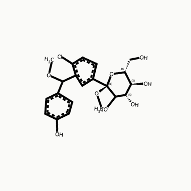 COC(c1ccc(O)cc1)c1cc([C@]2(OC)O[C@H](CO)[C@@H](O)[C@H](O)C2O)ccc1Cl